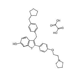 O=C(O)C(=O)O.Oc1ccc2c(Cc3ccc(CC4CCCC4)cc3)c(-c3ccc(OCCN4CCCC4)cc3)sc2c1